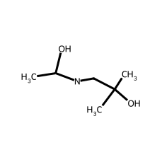 CC(O)[N]CC(C)(C)O